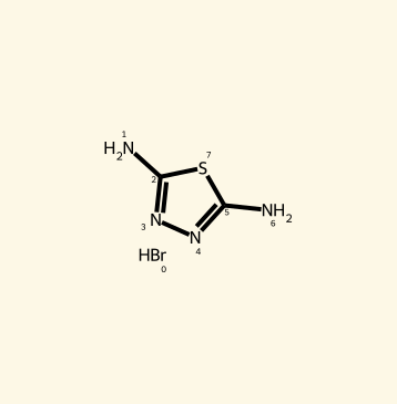 Br.Nc1nnc(N)s1